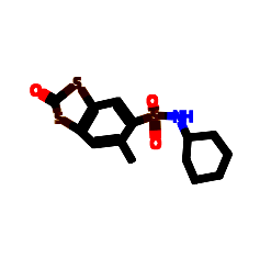 Cc1cc2sc(=O)sc2cc1S(=O)(=O)NC1CCCCC1